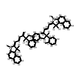 C=C(/C=C/C=C1/N(C)c2ccc3ccccc3c2C1(C)C)C(C)(Cc1ccc(CC(C)(C(=C)/C=C/C=C2/N(C)c3ccc4ccccc4c3C2(C)C)c2ccccc2C)cc1)c1ccccc1C